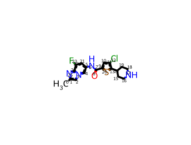 Cc1cn2cc(NC(=O)c3cc(Cl)c(C4CCNCC4)s3)cc(F)c2n1